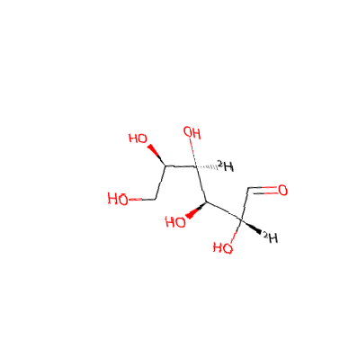 [2H][C@@](O)([C@H](O)CO)[C@H](O)[C@@]([2H])(O)C=O